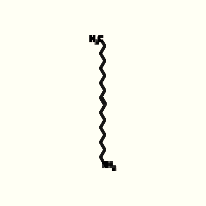 CCCCCCCCC=CCCCCCCCN